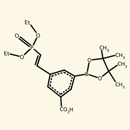 CCOP(=O)(C=Cc1cc(B2OC(C)(C)C(C)(C)O2)cc(C(=O)O)c1)OCC